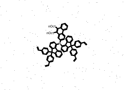 C=Cc1ccc(C2(c3ccc(C=C)cc3)c3ccccc3-c3c(N(c4ccc5c(c4)c(CCCCCCCC)c(CCCCCCCC)c4ccccc45)c4cccc5c4-c4ccccc4C5(c4ccc(C=C)cc4)c4ccc(C=C)cc4)cccc32)cc1